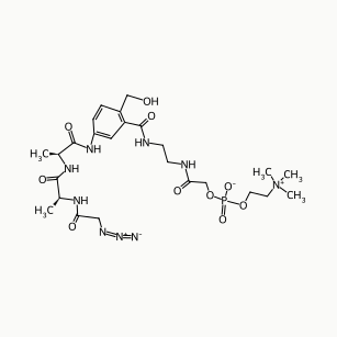 C[C@H](NC(=O)CN=[N+]=[N-])C(=O)N[C@@H](C)C(=O)Nc1ccc(CO)c(C(=O)NCCNC(=O)COP(=O)([O-])OCC[N+](C)(C)C)c1